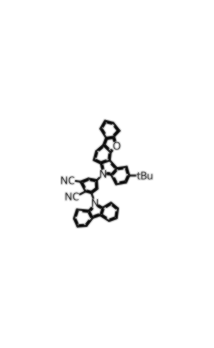 CC(C)(C)c1ccc2c(c1)c1c3oc4ccccc4c3ccc1n2-c1cc(C#N)c(C#N)c(-n2c3ccccc3c3ccccc32)c1